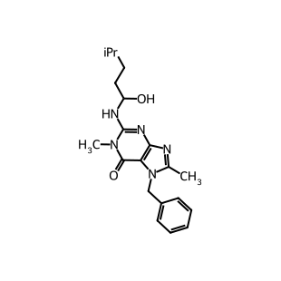 Cc1nc2nc(NC(O)CCC(C)C)n(C)c(=O)c2n1Cc1ccccc1